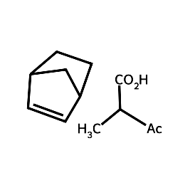 C1=CC2CCC1C2.CC(=O)C(C)C(=O)O